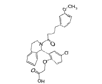 COc1cccc(CCCC(=O)N2CCc3ccccc3C2c2cc(Cl)ccc2OCC(=O)O)c1